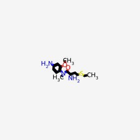 CCSCC[C@H](N)C(=O)N(C)c1ccc(N)cc1OC